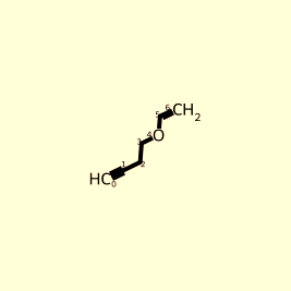 C#CCCOC=C